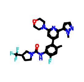 Cc1cc(F)c(NC(=O)N2CCC(C(F)(F)F)C2)cc1-c1cc(-c2ccnn2C)nc(N2CCOCC2)c1